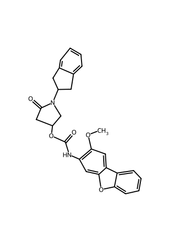 COc1cc2c(cc1NC(=O)OC1CC(=O)N(C3Cc4ccccc4C3)C1)oc1ccccc12